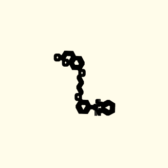 O=c1ccc2ccc(OCCCCOc3cccc(-c4nc5ccccc5s4)c3)cc2o1